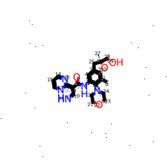 Cc1c2c(cc(NC(=O)/C(C=N)=C3\N=CC=CN3)c1N1CCOCC1)C[C@@](C)(CO)O2